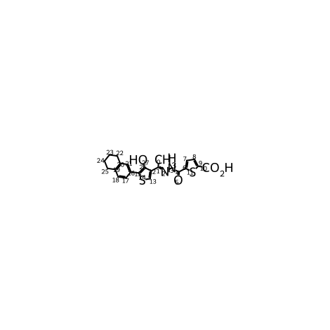 C/C(=N\NC(=O)c1ccc(C(=O)O)s1)c1csc(-c2ccc3c(c2)CCCC3)c1O